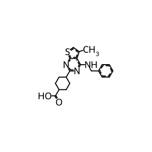 Cc1csc2nc(C3CCC(C(=O)O)CC3)nc(NCc3ccccc3)c12